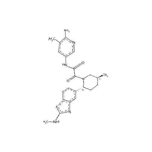 CNc1nc2cc([C@H]3CC[C@H](C)CN3C(=O)C(=O)Nc3cnc(N)c(C)c3)ccc2s1